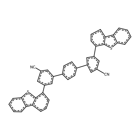 N#Cc1cc(-c2ccc(-c3cc(C#N)cc(-c4cccc5c4sc4ccccc45)c3)cc2)cc(-c2cccc3c2sc2ccccc23)c1